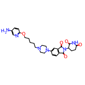 Nc1ccc(OCCCCCN2CCN(c3ccc4c(c3)C(=O)N(C3CCC(=O)NC3=O)C4=O)CC2)nc1